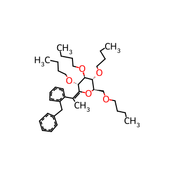 CCCCOC[C@H]1O/C(=C(\C)c2ccccc2Cc2ccccc2)[C@H](OCCCC)[C@@H](OCCCC)[C@@H]1OCCCC